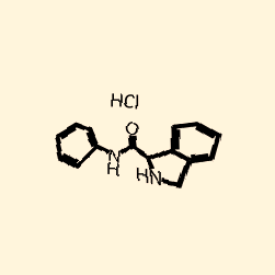 Cl.O=C(Nc1ccccc1)C1NCc2ccccc21